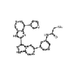 CC(C)(C)CC(=O)Nc1cncc(-c2cc3c(-c4nc5c(-c6ccoc6)cncc5[nH]4)n[nH]c3cn2)c1